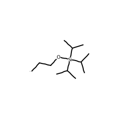 [CH2]CCO[Si](C(C)C)(C(C)C)C(C)C